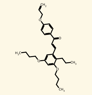 C=CCOc1ccc(C(=O)C=Cc2cc(OCCCC)cc(OCCCC)c2CCC)cc1